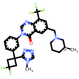 C[C@H]1CCCN(Cc2cc(C(F)(F)F)c3ncn(-c4cccc(C5(c6nncn6C)CC(F)(F)C5)c4)c(=O)c3c2)C1